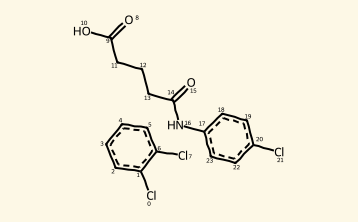 Clc1ccccc1Cl.O=C(O)CCCC(=O)Nc1ccc(Cl)cc1